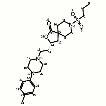 CCCS(=O)(=O)N1CCC2(CC1)C[C@H](CCN1CCN(c3ccc(C)cc3)CC1)OC2=O